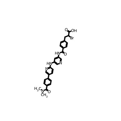 CN(C)C(=O)c1ccc(-c2ccc(Nc3cncc(NC(=O)c4ccc(CC(Br)C(=O)O)cc4)c3)nc2)cc1